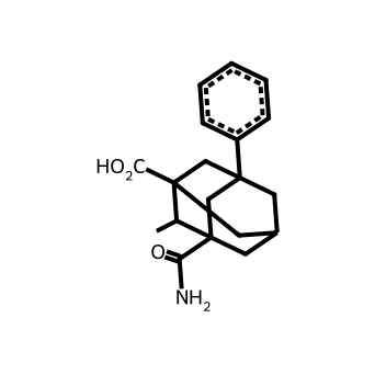 CC1C2(C(N)=O)CC3CC(c4ccccc4)(C2)CC1(C(=O)O)C3